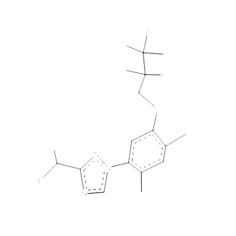 Cc1cc(C)c(-n2cnc(C(F)F)n2)cc1SCC(F)(F)C(F)(F)F